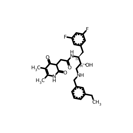 CCc1cccc(CNC[C@@H](O)[C@H](Cc2cc(F)cc(F)c2)NC(=O)CC2C(=O)NC(C)=C(C)C2=O)c1